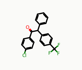 O=C(c1ccc(Cl)cc1)C(c1ccccc1)c1ccc(C(F)(F)F)cc1